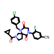 N#Cc1ccc(N2CC(=O)N(Cc3ccc(Cl)cc3)C3(CCN(C(=O)C4CC4)C3)C2=O)c(F)c1